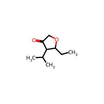 CCC1OCC(=O)C1C(C)C